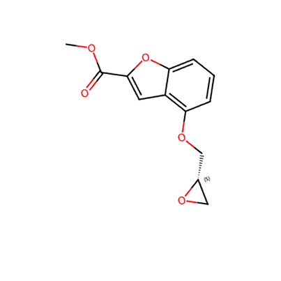 COC(=O)c1cc2c(OC[C@@H]3CO3)cccc2o1